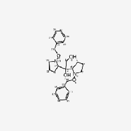 OCC(O)(C1CCCN1OCc1ccccc1)C1CCCN1OCc1ccccc1